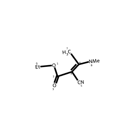 CCOC(=O)C(C#N)=C(C)NC